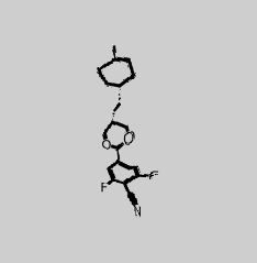 C[C@H]1CC[C@H](CC[C@H]2CO[C@H](c3cc(F)c(C#N)c(F)c3)OC2)CC1